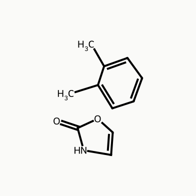 Cc1ccccc1C.O=c1[nH]cco1